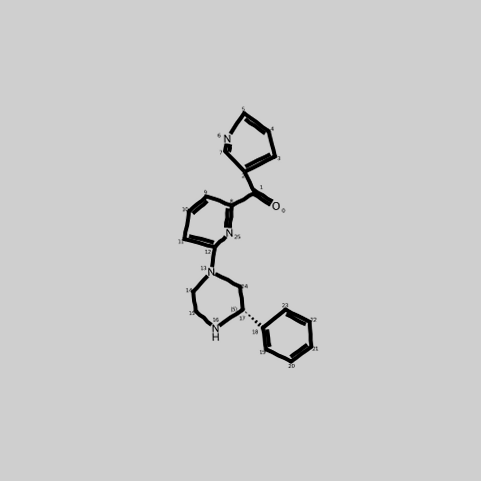 O=C(c1cccnc1)c1cccc(N2CCN[C@@H](c3ccccc3)C2)n1